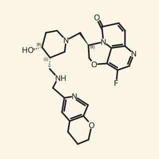 O=c1ccc2ncc(F)c3c2n1[C@H](CN1CC[C@@H](O)[C@@H](CNCc2cc4c(cn2)OCCC4)C1)CO3